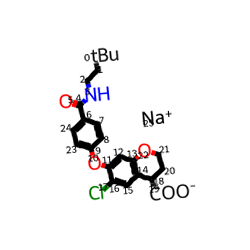 CC(C)(C)CCNC(=O)c1ccc(Oc2cc3c(cc2Cl)C(C(=O)[O-])CCO3)cc1.[Na+]